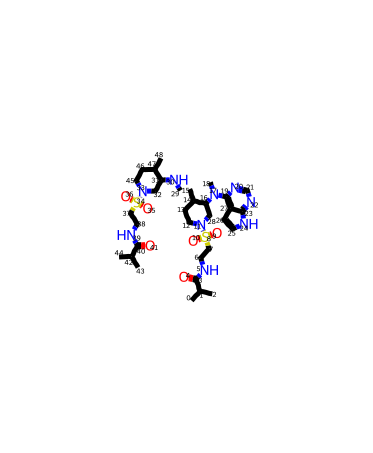 CC(C)C(=O)NCCS(=O)(=O)N1CCC(C)C(N(C)c2ncnc3[nH]ccc23)C1.CNC1CN(S(=O)(=O)CCNC(=O)C(C)C)CCC1C